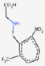 O=C(O)CNCc1c([N+](=O)[O-])cccc1C(F)(F)F